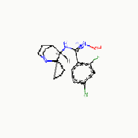 O/N=C(/N[C@H]1C2CCN(CC2)C12CC2)c1ccc(Cl)cc1F